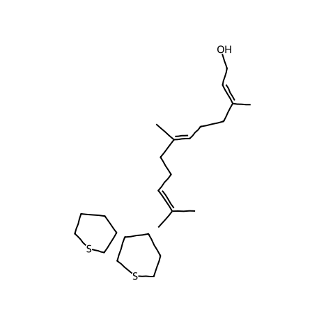 C1CCSCC1.C1CCSCC1.CC(C)=CCCC(C)=CCCC(C)=CCO